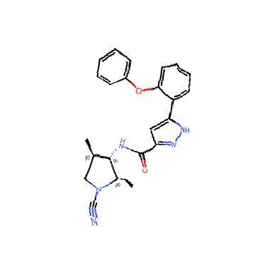 C[C@@H]1CN(C#N)[C@H](C)[C@H]1NC(=O)c1cc(-c2ccccc2Oc2ccccc2)[nH]n1